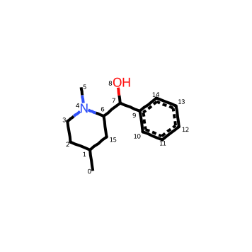 CC1CCN(C)C(C(O)c2ccccc2)C1